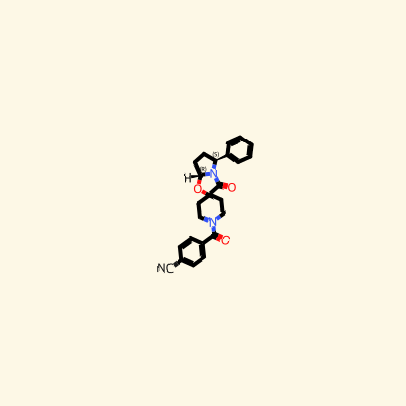 N#Cc1ccc(C(=O)N2CCC3(CC2)O[C@@H]2CC[C@@H](c4ccccc4)N2C3=O)cc1